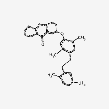 Cc1ccc(C)c(CCc2cc(C)c(Oc3ccc4sc5ccccc5c(=O)c4c3)cc2C)c1